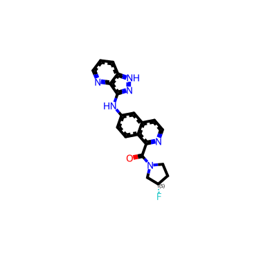 O=C(c1nccc2cc(Nc3n[nH]c4cccnc34)ccc12)N1CC[C@H](F)C1